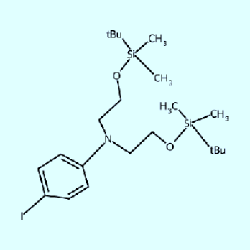 CC(C)(C)[Si](C)(C)OCCN(CCO[Si](C)(C)C(C)(C)C)c1ccc(I)cc1